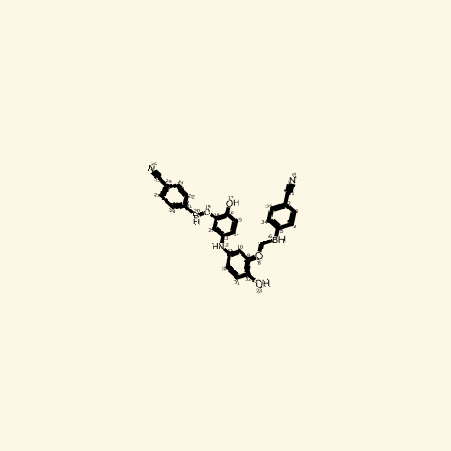 N#Cc1ccc(BCOc2cc(Nc3ccc(O)c(OBc4ccc(C#N)cc4)c3)ccc2O)cc1